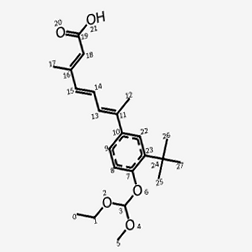 CCOC(OC)Oc1ccc(C(C)=CC=CC(C)=CC(=O)O)cc1C(C)(C)C